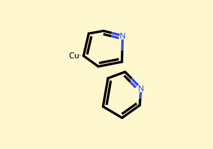 [Cu].c1ccncc1.c1ccncc1